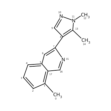 Cc1cccc2cc(-c3cnn(C)c3C)ncc12